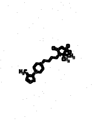 Cc1ccsc1N1CCN(CCCCN2C(=O)CS(=O)(=O)C2(C)C)CC1